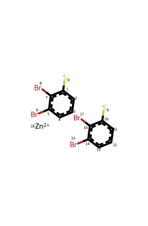 [S-]c1cccc(Br)c1Br.[S-]c1cccc(Br)c1Br.[Zn+2]